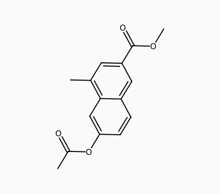 COC(=O)c1cc(C)c2cc(OC(C)=O)ccc2c1